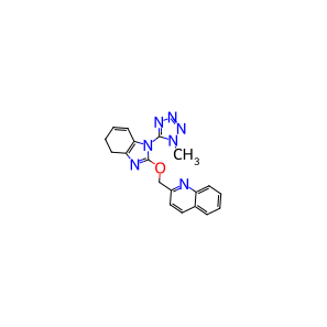 Cn1nnnc1-n1c(OCc2ccc3ccccc3n2)nc2c1C=CCC2